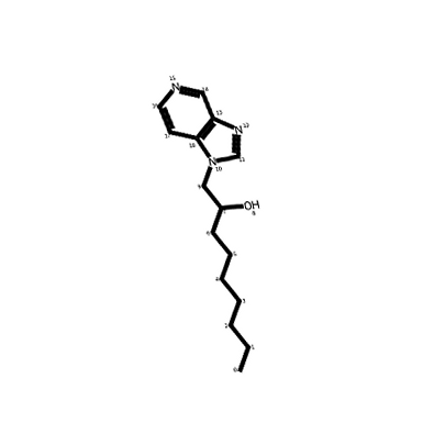 CCCCCCCC(O)Cn1cnc2cnccc21